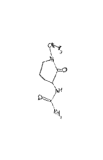 CN1CCC(NC(N)=O)C1=O